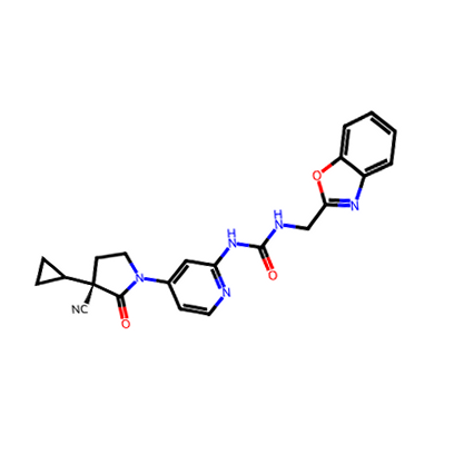 N#C[C@@]1(C2CC2)CCN(c2ccnc(NC(=O)NCc3nc4ccccc4o3)c2)C1=O